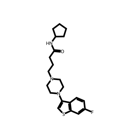 O=C(CCCN1CCN(c2csc3cc(F)ccc23)CC1)NC1CCCC1